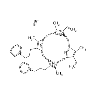 C=CC1=C(C)c2cc3[nH]c(cc4nc(cc5[nH]c(cc1n2)c(C)c5CCC[n+]1ccccc1)C(CCC[n+]1ccccc1)=C4C)c(C)c3C=C.[Br-].[Br-]